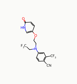 N#Cc1ccc(N(CCOc2ccc(=O)[nH]c2)CC(F)(F)F)cc1C(F)(F)F